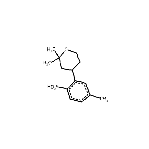 Cc1ccc(S(=O)(=O)O)c(C2CCOC(C)(C)C2)c1